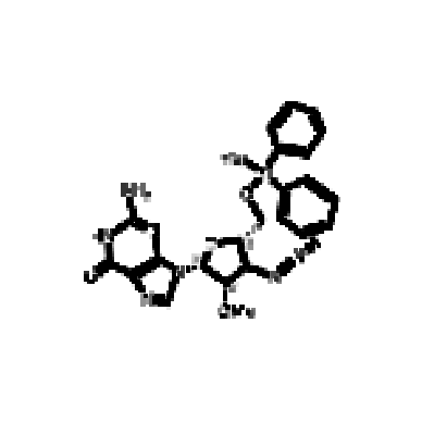 CO[C@H]1C(N=[N+]=[N-])[C@@H](CO[Si](c2ccccc2)(c2ccccc2)C(C)(C)C)O[C@H]1n1cnc2c(=O)[nH]c(N)nc21